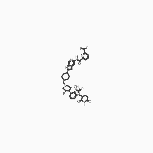 Cn1c(=O)n(C2CCC(=O)NC2=O)c2cccc([C@@H]3CCN(C[C@H]4CC[C@H](n5cc6cc(NC(=O)c7cccc(C(F)F)n7)ncc6n5)CC4)C[C@@H]3F)c21